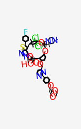 Cc1c(Cl)c2c(Cl)c(C)c1-c1c(-c3ccc(F)cc3)sc3ncnc(c13)O[C@@H](C(=O)O)Cc1cc(ccc1OCc1ccnc(-c3ccc(OC[C@@H]4COCCO4)cc3)n1)OC[C@@H](CN1CCN(C)CC1)O2